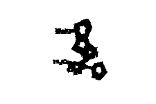 COc1cccc2c1Cc1c-2n[nH]c1-c1c(-c2ccccc2)noc1C